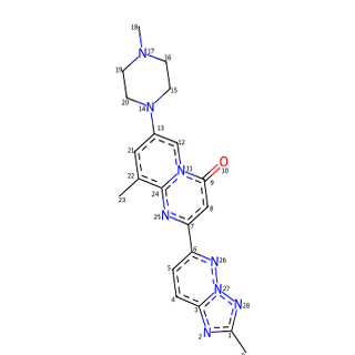 Cc1nc2ccc(-c3cc(=O)n4cc(N5CCN(C)CC5)cc(C)c4n3)nn2n1